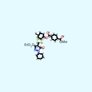 CCOC(=O)C1=NN(c2ccccc2)C(=O)/C1=C1/Sc2c(C)ccc(OC(=O)c3ccc(C(=O)OC)cc3)c2S1